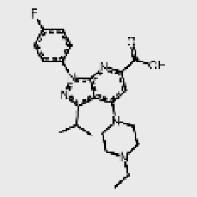 CCN1CCN(c2cc(C(=O)O)nc3c2c(C(C)C)nn3-c2ccc(F)cc2)CC1